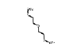 CSSCCOCCSSC